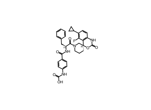 O=C(O)Nc1ccc(C(=O)N[C@@H](Cc2ccccc2)C(=O)N2CCC[C@@]3(C2)OC(=O)Nc2ccc(C4CC4)c(F)c23)cc1